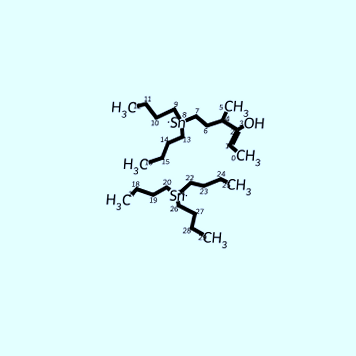 C/C=C(\O)C(C)C[CH2][Sn]([CH2]CCC)[CH2]CCC.CCC[CH2][Sn]([CH2]CCC)[CH2]CCC